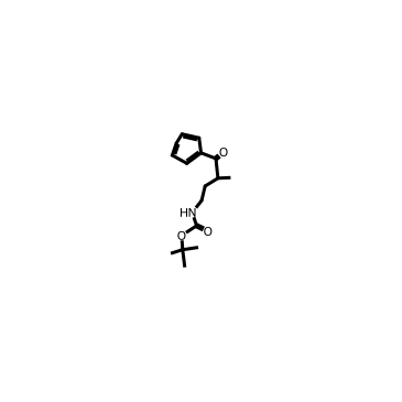 CC(CCNC(=O)OC(C)(C)C)C(=O)c1ccccc1